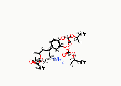 CC(CC(c1ccc(OC(=O)OC(C)C(C)C)c(OC(=O)OC(C)C(C)C)c1)[C@H](N)C(=O)O)OC(=O)C(C)C